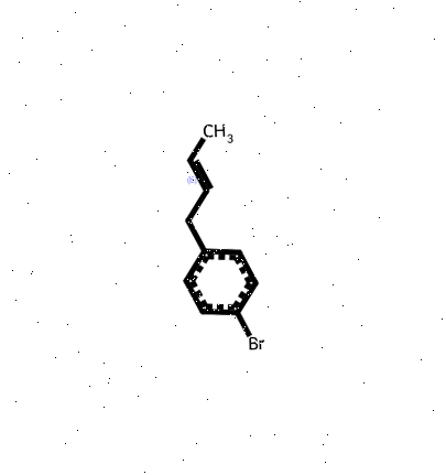 C/C=C/Cc1ccc(Br)cc1